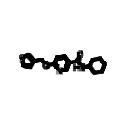 O=C(NC1CCCCC1)c1ccc(OCc2ccsc2)nc1